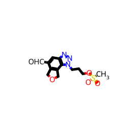 CS(=O)(=O)OCCCn1nnc2cc(C=O)c3c(c21)COC3